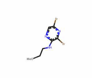 COCCNc1ncc(Br)nc1Br